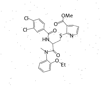 CCOc1ccccc1N(C)C(=O)C(CSc1ncccc1C(=O)OC)NC(=O)c1ccc(Cl)c(Cl)c1